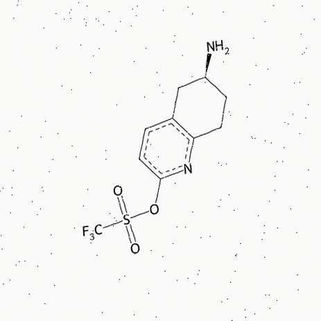 N[C@H]1CCc2nc(OS(=O)(=O)C(F)(F)F)ccc2C1